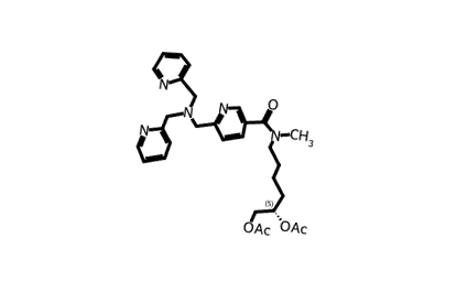 CC(=O)OC[C@H](CCCCN(C)C(=O)c1ccc(CN(Cc2ccccn2)Cc2ccccn2)nc1)OC(C)=O